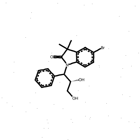 CC1(C)C(=O)N(C(c2ccccc2)[C@H](O)CO)c2ccc(Br)cc21